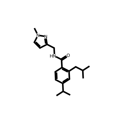 CC(C)Cc1cc(C(C)C)ccc1C(=O)NCc1ccn(C)n1